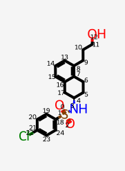 O=S(=O)(N[C@@H]1CCc2c(CCCO)cccc2C1)c1ccc(Cl)cc1